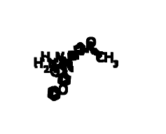 CC#CC(=O)N1CC[C@]2(C1)C[C@H](n1nc(-c3ccc(Oc4ccccc4)cc3)c(C(N)=O)c1N)C2